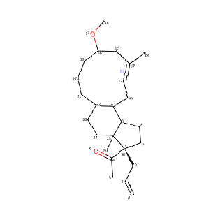 C=CC[C@]1(C(C)=O)CCC2C3C/C=C(\C)CC(OC)CCCC3CCC21C